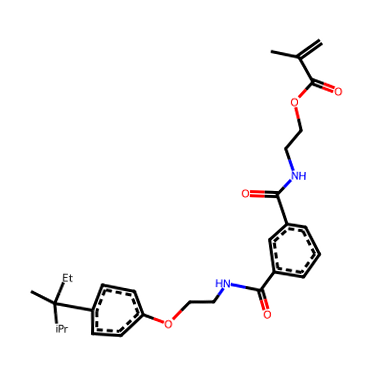 C=C(C)C(=O)OCCNC(=O)c1cccc(C(=O)NCCOc2ccc(C(C)(CC)C(C)C)cc2)c1